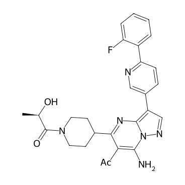 CC(=O)c1c(C2CCN(C(=O)[C@@H](C)O)CC2)nc2c(-c3ccc(-c4ccccc4F)nc3)cnn2c1N